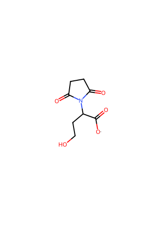 [O]C(=O)C(CCO)N1C(=O)CCC1=O